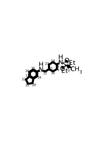 CCC(C)(CC)S(=O)(=O)NC1CCC(CNc2ccc3c(c2)CCC3)CC1